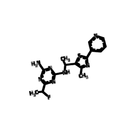 Cc1nc(-c2cccnc2)sc1C(C)Nc1nc(N)nc(C(C)F)n1